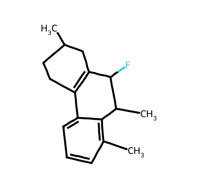 Cc1cccc2c1C(C)C(F)C1=C2CCC(C)C1